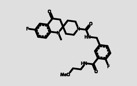 COCCNC(=O)c1cc(CNC(=O)N2CCC3(CC2)CC(=O)c2cc(F)ccc2N3C)ccc1F